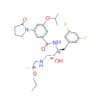 CCCO[C@H](C)CNC[C@@H](O)[C@H](Cc1cc(F)cc(F)c1)NC(=O)c1cc(OC(C)C)cc(N2CCCC2=O)c1